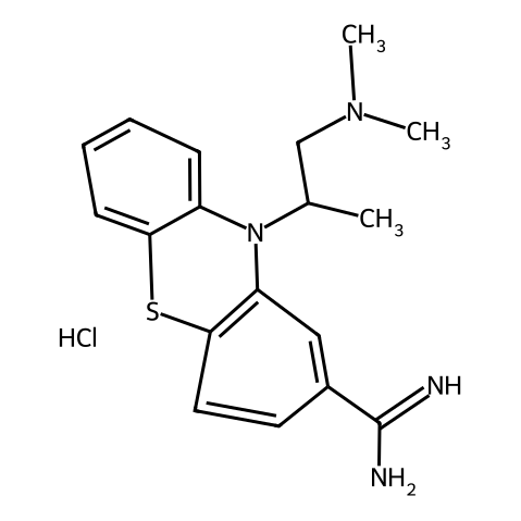 CC(CN(C)C)N1c2ccccc2Sc2ccc(C(=N)N)cc21.Cl